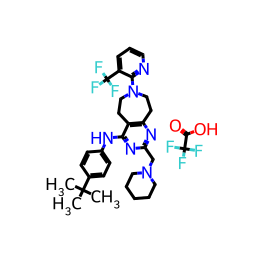 CC(C)(C)c1ccc(Nc2nc(CN3CCCCC3)nc3c2CCN(c2ncccc2C(F)(F)F)CC3)cc1.O=C(O)C(F)(F)F